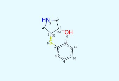 O[C@H]1CNC[C@@H]1Sc1ccccc1